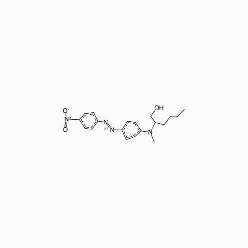 CCCCC(CO)N(C)c1ccc(/N=N/c2ccc([N+](=O)[O-])cc2)cc1